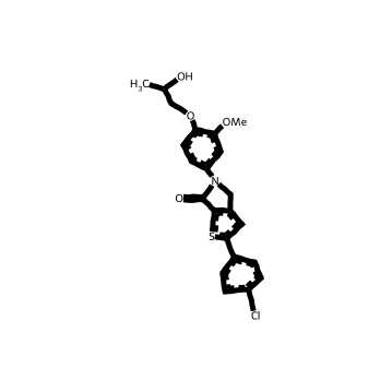 COc1cc(N2Cc3cc(-c4ccc(Cl)cc4)sc3C2=O)ccc1OCC(C)O